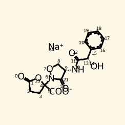 O=C1CCC(C(=O)[O-])(N2OC[C@H](NC(=O)[C@@H](O)c3ccccc3)C2=O)O1.[Na+]